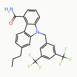 CCCc1c[c]c2c3c(C(N)=O)cccc3n(Cc3cc(C(F)(F)F)cc(C(F)(F)F)c3)c2c1